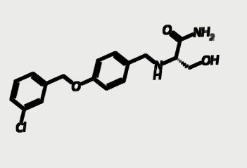 NC(=O)[C@H](CO)NCc1ccc(OCc2cccc(Cl)c2)cc1